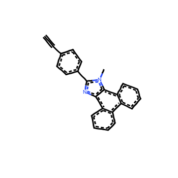 C#Cc1ccc(-c2nc3c4ccccc4c4ccccc4c3n2C)cc1